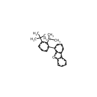 CN(C)c1c(-c2cccc3c2oc2ccccc23)cccc1C(C)(C)C